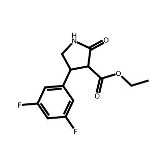 CCOC(=O)C1C(=O)NCC1c1cc(F)cc(F)c1